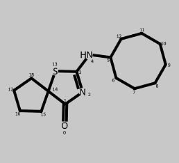 O=C1N=C(NC2CCCCCCC2)SC12CCCC2